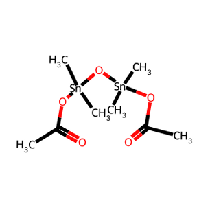 CC(=O)[O][Sn]([CH3])([CH3])[O][Sn]([CH3])([CH3])[O]C(C)=O